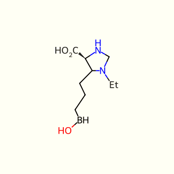 CCN1CN[C@H](C(=O)O)C1CCCBO